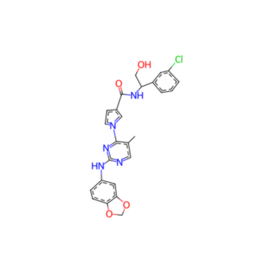 Cc1cnc(Nc2ccc3c(c2)OCO3)nc1-n1ccc(C(=O)NC(CO)c2cccc(Cl)c2)c1